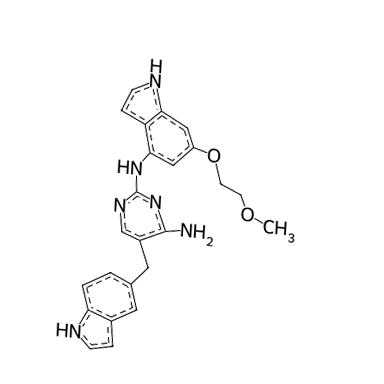 COCCOc1cc(Nc2ncc(Cc3ccc4[nH]ccc4c3)c(N)n2)c2cc[nH]c2c1